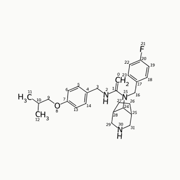 C=C(NCc1ccc(OCC(C)C)cc1)N(Cc1ccc(F)cc1)C1C2CCC1CNC2